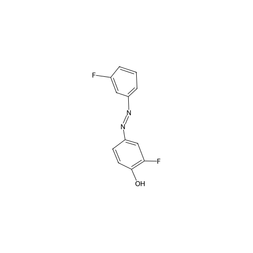 Oc1ccc(N=Nc2cccc(F)c2)cc1F